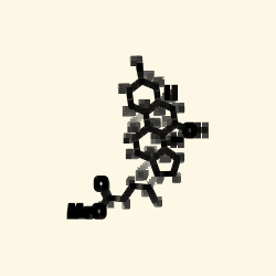 COC(=O)CCC(C)[C@H]1CCC2[C@@H]3C(O)C[C@@H]4C[C@H](C)CC[C@]4(C)C3CC[C@@]21C